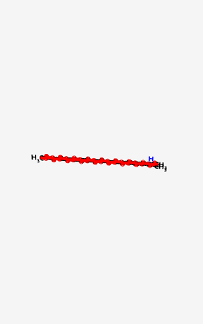 CCCCOC(=O)CCCCCOC(=O)CCCCCOC(=O)CCCCCOC(=O)CCCCCOC(=O)CCCCCOC(=O)CCCCCOC(=O)CCCCCOC(=O)CCCCCOC(=O)CCCCCOC(=O)CCCCCOC(=O)CCCCCOC(=O)CCCCCOC(=O)CCCCCOC(=O)CCCCCOC(=O)CCCCCOC(=O)NCCOC(=O)C(C)CC